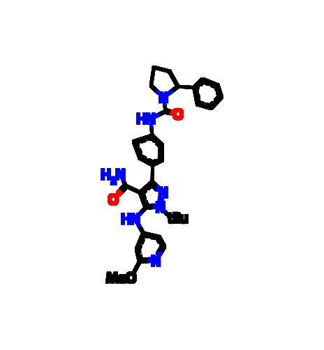 COc1cc(Nc2c(C(N)=O)c(-c3ccc(NC(=O)N4CCCC4c4ccccc4)cc3)nn2C(C)(C)C)ccn1